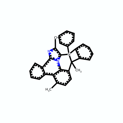 Cc1nc2c3ccccc3c3c(C)ccc4c3n2c1[Si]1(c2ccccc2)c2ccccc2C41C